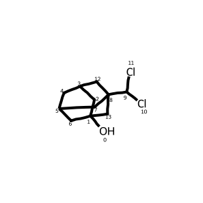 OC12CC3CC(C1)CC(C(Cl)Cl)(C3)C2